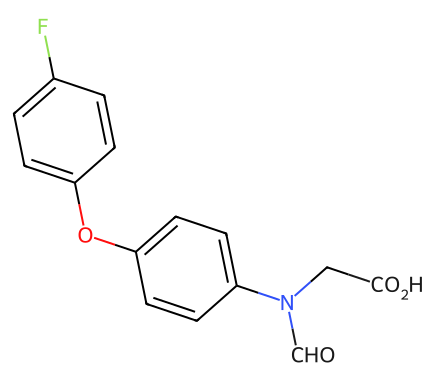 O=CN(CC(=O)O)c1ccc(Oc2ccc(F)cc2)cc1